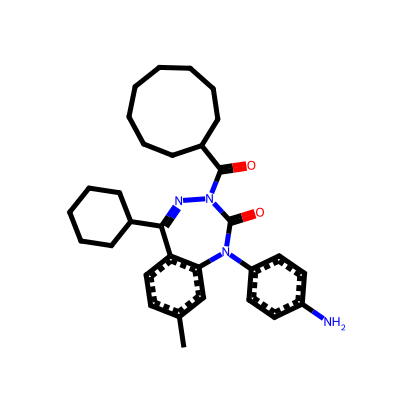 Cc1ccc2c(c1)N(c1ccc(N)cc1)C(=O)N(C(=O)C1CCCCCCCC1)N=C2C1CCCCC1